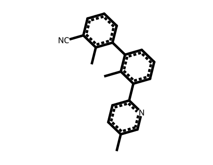 Cc1ccc(-c2cccc(-c3cccc(C#N)c3C)c2C)nc1